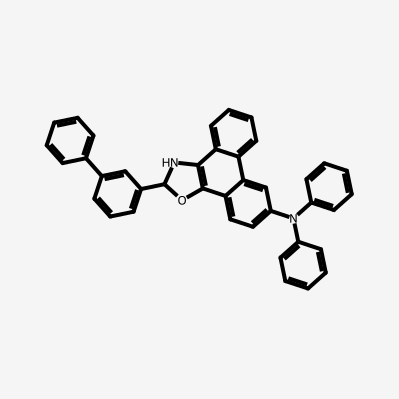 c1ccc(-c2cccc(C3Nc4c(c5ccc(N(c6ccccc6)c6ccccc6)cc5c5ccccc45)O3)c2)cc1